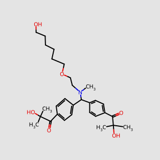 CN(CCOCCCCCCO)C(c1ccc(C(=O)C(C)(C)O)cc1)c1ccc(C(=O)C(C)(C)O)cc1